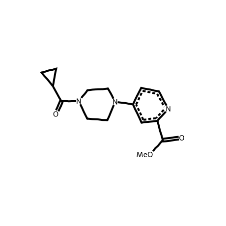 COC(=O)c1cc(N2CCN(C(=O)C3CC3)CC2)ccn1